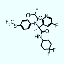 C[C@@](C(=O)NC1CCC(F)(F)CC1)(c1cncc(F)c1)N(C(=O)[C@H](F)Cl)c1ccc(SC(F)(F)F)cc1